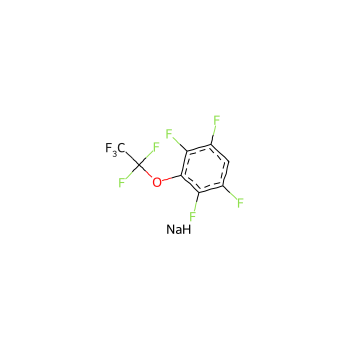 Fc1cc(F)c(F)c(OC(F)(F)C(F)(F)F)c1F.[NaH]